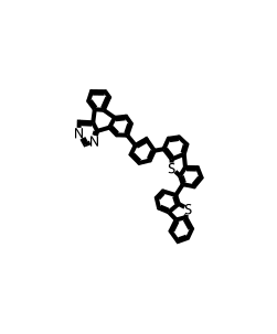 c1cc(-c2ccc3c4ccccc4c4cncnc4c3c2)cc(-c2cccc3c2sc2c(-c4cccc5c4sc4ccccc45)cccc23)c1